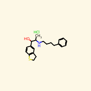 CC(NCCCCc1ccccc1)C(O)c1ccc2c(c1)CCS2.Cl